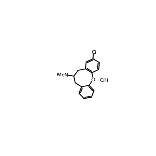 CNC1Cc2ccccc2Oc2ccc(Cl)cc2C1.Cl